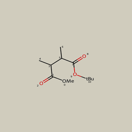 COC(=O)C(C)C(C)C(=O)OC(C)(C)C